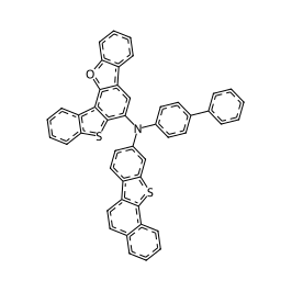 c1ccc(-c2ccc(N(c3ccc4c(c3)sc3c5ccccc5ccc43)c3cc4c5ccccc5oc4c4c3sc3ccccc34)cc2)cc1